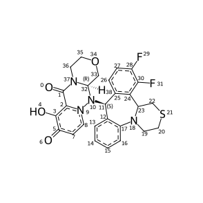 O=C1c2c(O)c(=O)ccn2N([C@@H]2c3ccccc3N3CCSCC3c3c2ccc(F)c3F)[C@@H]2COCCN12